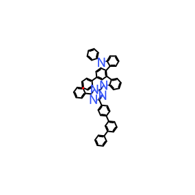 c1ccc(-c2cccc(-c3ccc(-c4nc(-c5ccccc5)nc(-n5c6ccccc6c6c7c8ccccc8n(-c8ccccc8)c7cc(-c7ccccc7)c65)n4)cc3)c2)cc1